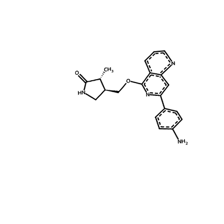 C[C@H]1C(=O)NC[C@@H]1COc1nc(-c2ccc(N)cc2)cc2ncccc12